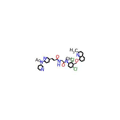 CC(=O)N(c1cccnc1)c1ccc(C=CC(=O)NCC(=O)N(C)c2ccc(Cl)c(COc3cccc4ccc(C)nc34)c2Cl)cn1